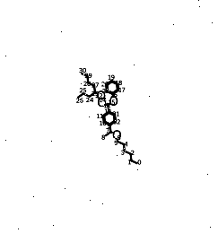 CCCCCCOC(C)c1ccc(C(=O)Oc2ccccc2OC(CCC)CCCC)cc1